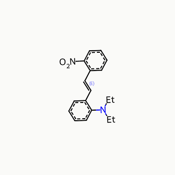 CCN(CC)c1ccccc1/C=C/c1ccccc1[N+](=O)[O-]